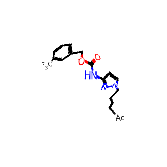 CC(=O)CCCCn1ccc(NC(=O)OCc2cccc(C(F)(F)F)c2)n1